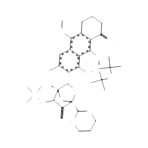 C=C1C(O[Si](C)(C)C)[C@H]2O[C@]1(C1OCCCO1)O[C@H]2c1c(C)cc2c(OC)c3c(c4c2c1O[Si](C(C)(C)C)(C(C)(C)C)O4)C(=O)CCC3